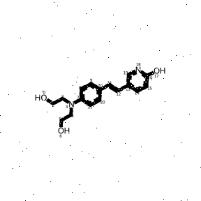 OCCN(CCO)c1ccc(/C=C/c2ccc(O)nc2)cc1